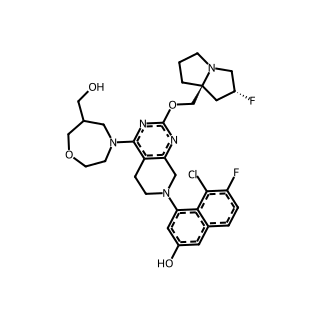 OCC1COCCN(c2nc(OC[C@@]34CCCN3C[C@H](F)C4)nc3c2CCN(c2cc(O)cc4ccc(F)c(Cl)c24)C3)C1